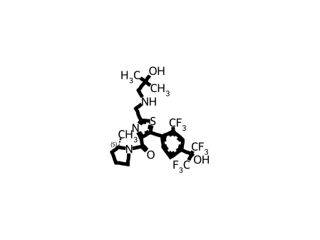 C[C@H]1CCCN1C(=O)c1nc(CNCC(C)(C)O)sc1-c1ccc(C(O)(C(F)(F)F)C(F)(F)F)cc1C(F)(F)F